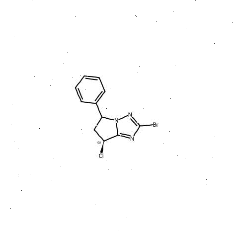 Cl[C@H]1CC(c2ccccc2)n2nc(Br)nc21